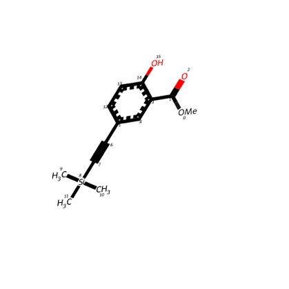 COC(=O)c1cc(C#C[Si](C)(C)C)ccc1O